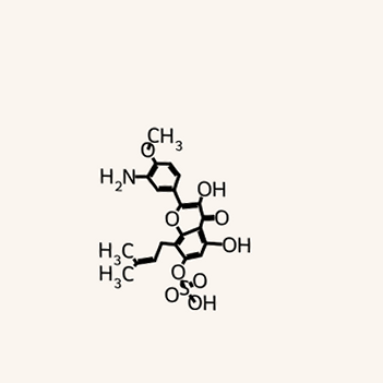 COc1ccc(-c2oc3c(CC=C(C)C)c(OS(=O)(=O)O)cc(O)c3c(=O)c2O)cc1N